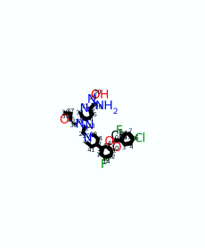 CC1(c2ccc(Cl)cc2F)Oc2cc(F)cc(C3CCN(Cc4nc5cc(C(N)=NO)ncc5n4C[C@@H]4CCO4)CC3)c2O1